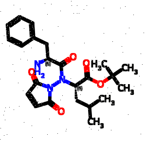 CC(C)C[C@@H](C(=O)OC(C)(C)C)N(C(=O)[C@@H](N)Cc1ccccc1)N1C(=O)C=CC1=O